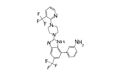 Nc1cccc(-c2cc(C(F)(F)F)cc3nc(N4CCN(c5ncccc5C(F)(F)F)CC4)[nH]c23)c1